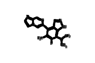 CN(C)c1c(F)c(C(F)(F)F)c(-c2cn3ccnc3cn2)c2cn[nH]c12